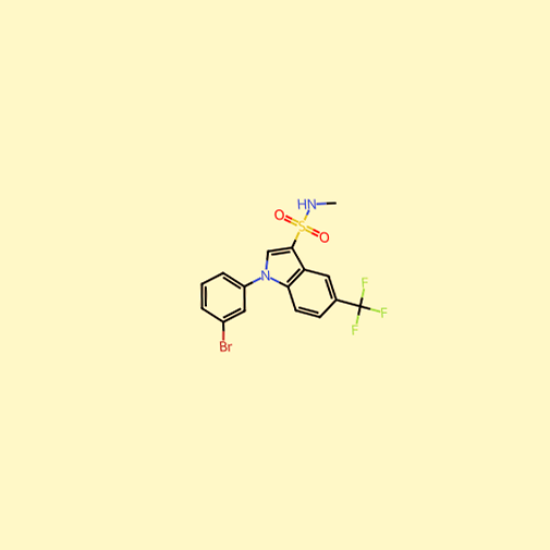 CNS(=O)(=O)c1cn(-c2cccc(Br)c2)c2ccc(C(F)(F)F)cc12